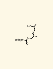 CCCCCCCC(=O)OCC(C)OCC(C)O